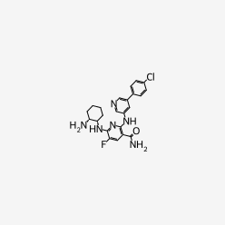 NC(=O)c1cc(F)c(N[C@@H]2CCCC[C@@H]2N)nc1Nc1cncc(-c2ccc(Cl)cc2)c1